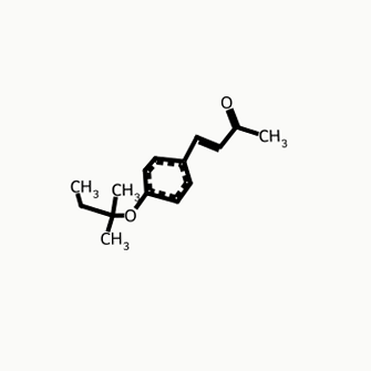 CCC(C)(C)Oc1ccc(C=CC(C)=O)cc1